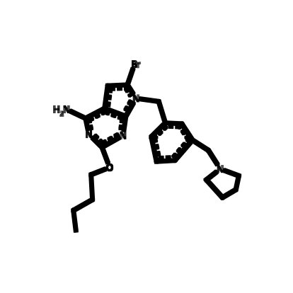 CCCCOc1nc(N)c2cc(Br)n(Cc3cccc(CN4CCCC4)c3)c2n1